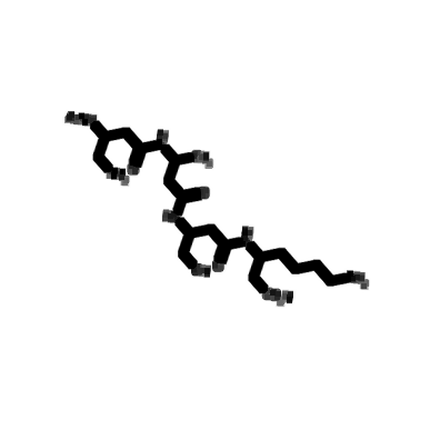 CC(=O)NC(CN)CC(=O)NC(C)CC(=O)NC(CO)CC(=O)NC(CCCCN)CC(=O)O